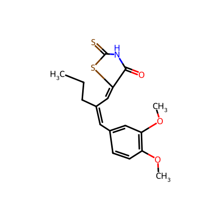 CCCC(=Cc1ccc(OC)c(OC)c1)C=C1SC(=S)NC1=O